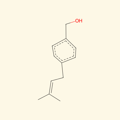 CC(C)=CCc1ccc(CO)cc1